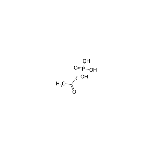 C[C](=O)[K].O=P(O)(O)O